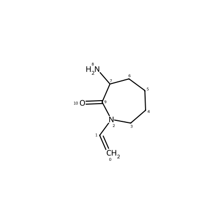 C=CN1CCCCC(N)C1=O